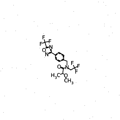 COC(C)C(=O)N(Cc1ccc(-c2noc(C(F)(F)F)n2)cc1)CC(F)(F)F